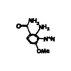 COc1ccc(C(N)=O)c(N)c1[N+]#N